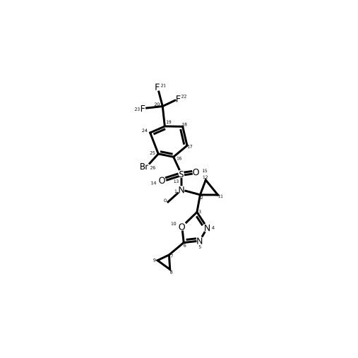 CN(C1(c2nnc(C3CC3)o2)CC1)S(=O)(=O)c1ccc(C(F)(F)F)cc1Br